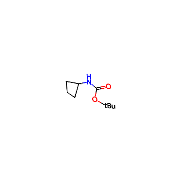 CC(C)(C)OC(=O)N[C]1CCC1